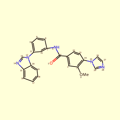 COc1cc(C(=O)Nc2cccc(-n3cnc4ccccc43)c2)ccc1-n1ccnc1